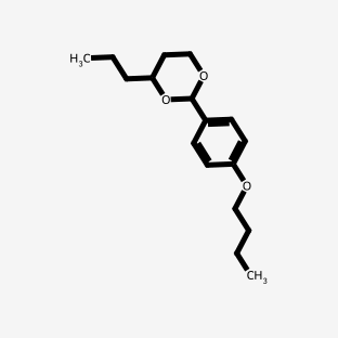 CCCCOc1ccc(C2OCCC(CCC)O2)cc1